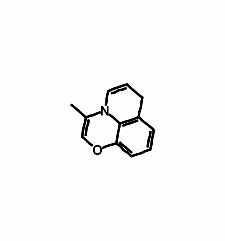 CC1=COc2cccc3c2N1C=CC3